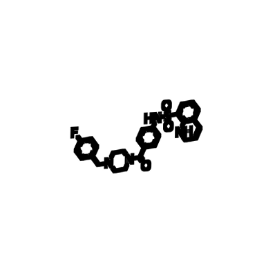 O=C(c1ccc(NS(=O)(=O)c2cccc3c2NCC=C3)cc1)N1CCN(Cc2ccc(F)cc2)CC1